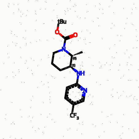 C[C@@H]1[C@@H](Nc2ccc(C(F)(F)F)cn2)CCCN1C(=O)OC(C)(C)C